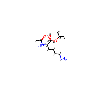 CC(=O)NC(CCCCN)C(=O)OC(C)C